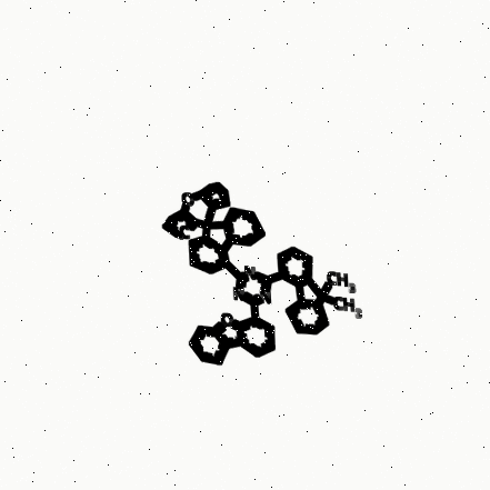 CC1(C)c2ccccc2-c2c(-c3nc(-c4cccc5c4-c4ccccc4C54c5ccccc5Oc5ccccc54)nc(-c4cccc5c4oc4ccccc45)n3)cccc21